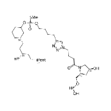 CCC[C@@H](C)CC[C@H](CCC)CC[C@@H]1CCCC(OP(=O)(OCCCCc2cn(CCCC(=O)N3C[C@@H](O)C[C@H]3COPO)nn2)SC)C1